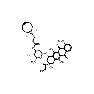 COc1cccc2c1C(=O)c1c(O)c3c(c(O)c1C2=O)C[C@@](O)(C(=O)CO)C[C@@H]3O[C@H]1C[C@H](NC(=O)OC[C@@H]2[C@@H]3CCC#CCC[C@@H]32)[C@H](O)[C@H](C)O1